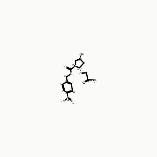 NC(=O)CS[C@H]1C[C@H](S)CN1C(=O)OCc1ccc([N+](=O)[O-])cc1